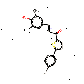 Cc1cc(/C=C/C(=O)c2ccc(-c3ccc(C(F)(F)F)cc3)s2)cc(C)c1O